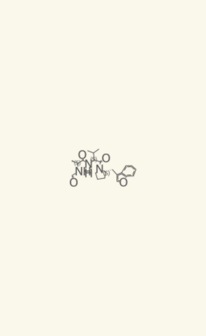 CC(C)[C@H](NC(=O)[C@H](C)NC=O)C(=O)N1CCC[C@H]1Cc1coc2ccccc12